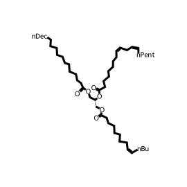 CCCC/C=C\CCCCCCCC(=O)OC[C@H](COC(=O)CCCCCCCCCCCCCCCCCCCCC)OC(=O)CCCCCCC/C=C\C/C=C\CCCCC